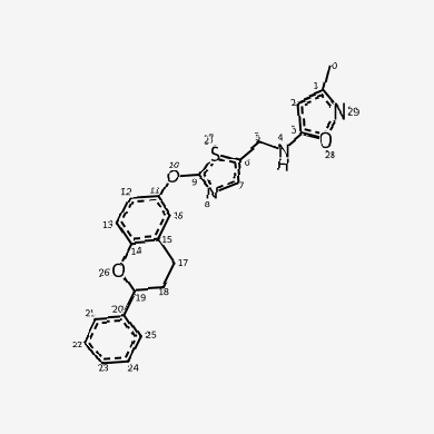 Cc1cc(NCc2cnc(Oc3ccc4c(c3)CCC(c3ccccc3)O4)s2)on1